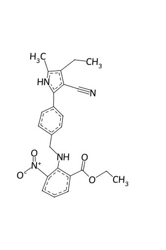 CCOC(=O)c1cccc([N+](=O)[O-])c1NCc1ccc(-c2[nH]c(C)c(CC)c2C#N)cc1